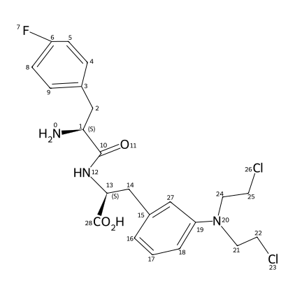 N[C@@H](Cc1ccc(F)cc1)C(=O)N[C@@H](Cc1cccc(N(CCCl)CCCl)c1)C(=O)O